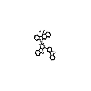 CC12C=c3c(n(-c4nc(-c5ccc6oc7ccccc7c6c5)c5sc6ccccc6c5n4)c4ccccc34)=CC1=CC=CC2